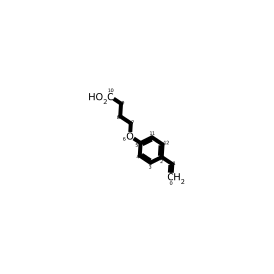 C=Cc1ccc(OCCCC(=O)O)cc1